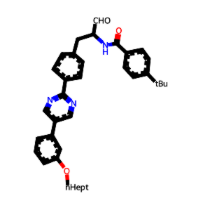 CCCCCCCOc1cccc(-c2cnc(-c3ccc(CC(C=O)NC(=O)c4ccc(C(C)(C)C)cc4)cc3)nc2)c1